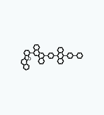 c1ccc(-c2ccc(-c3c4ccccc4c(-c4ccc(-c5cc6c7ccccc7c(-c7cccc8c7oc7c9ccccc9ccc87)cc6c6ccccc56)cc4)c4ccccc34)cc2)cc1